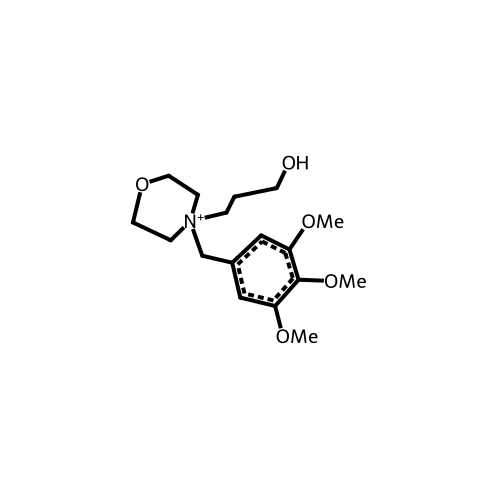 COc1cc(C[N+]2(CCCO)CCOCC2)cc(OC)c1OC